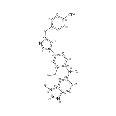 CCc1cc(-c2cnn(Cc3ccc(Cl)cc3)c2)ccc1N(C)c1cc2c(cn1)ncn2C